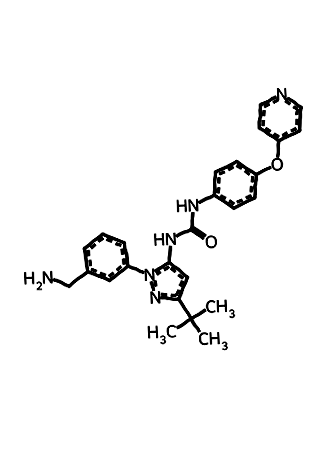 CC(C)(C)c1cc(NC(=O)Nc2ccc(Oc3ccncc3)cc2)n(-c2cccc(CN)c2)n1